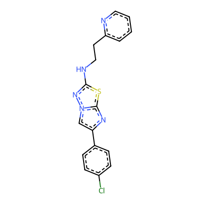 Clc1ccc(-c2cn3nc(NCCc4ccccn4)sc3n2)cc1